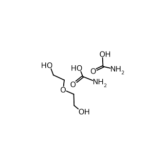 NC(=O)O.NC(=O)O.OCCOCCO